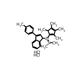 CC1=C(C)C(C)[C]([Zr]([CH]2C=C(c3ccc(C)cc3)c3ccccc32)=[Si](C)C)=C1C.Cl.Cl